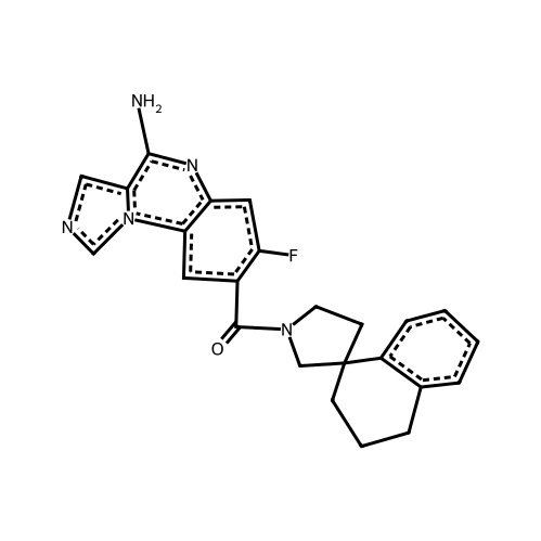 Nc1nc2cc(F)c(C(=O)N3CCC4(CCCc5ccccc54)C3)cc2n2cncc12